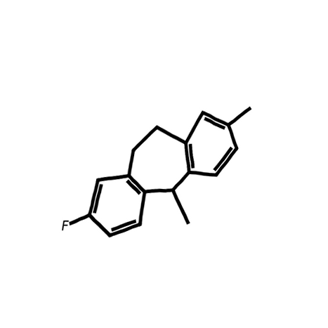 Cc1ccc2c(c1)CCc1cc(F)ccc1C2C